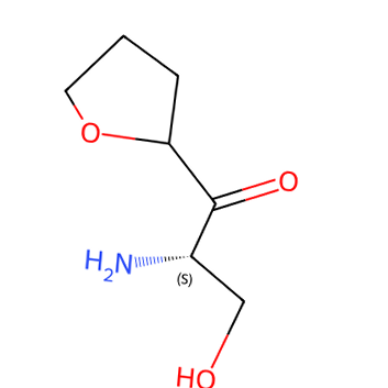 N[C@@H](CO)C(=O)C1CCCO1